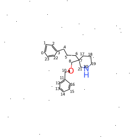 c1ccc(CCCC2(COCc3ccccc3)CCCNC2)cc1